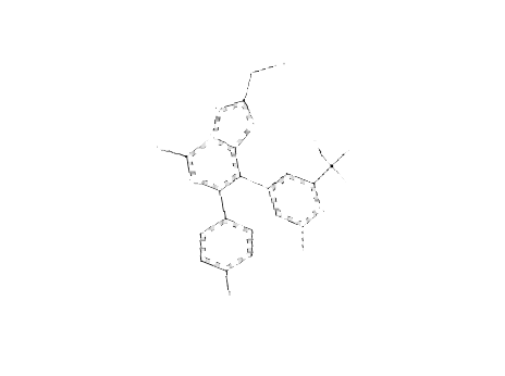 Cc1cc(-c2c(-c3ccc(F)cc3)nc(N)n3nc(CO)nc23)cc(C(F)(F)F)n1